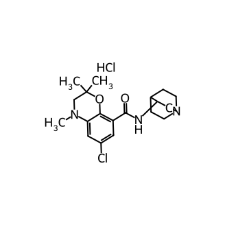 CN1CC(C)(C)Oc2c(C(=O)NC3CN4CCC3CC4)cc(Cl)cc21.Cl